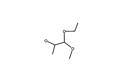 CCOC(OC)C(C)[O]